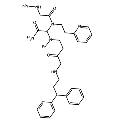 CCCNCC(=O)N(CCc1ccccn1)C(C(N)=O)N(CC)CCC(=O)CNCCC(c1ccccc1)c1ccccc1